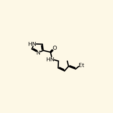 CC/C=C(C)/C=C\CNC(=O)c1c[nH]cn1